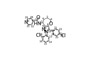 O=C(NC1CCCOc2c1nn(-c1ccccc1Cl)c2-c1ccc(Cl)cc1)c1ccncc1